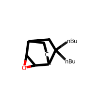 CCCCC1(CCCC)CC2CC[C]1C1OC21